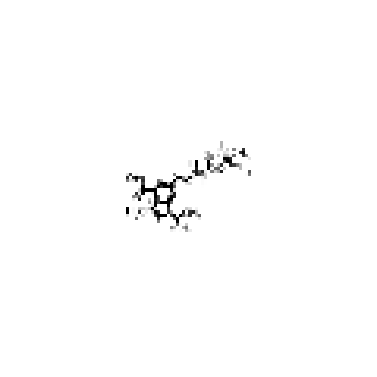 Cc1cn(C(C)C)c2cc(CCNNC(=O)OC(C)(C)C)cc(C(=O)N=O)c12